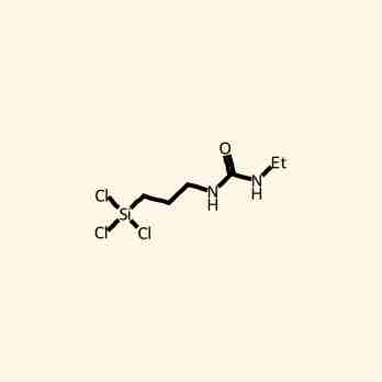 CCNC(=O)NCCC[Si](Cl)(Cl)Cl